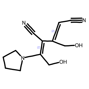 N#C/C=C(CO)/C(C#N)=C(\CO)N1CCCC1